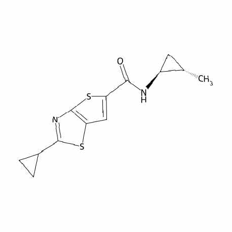 C[C@H]1C[C@@H]1NC(=O)c1cc2sc(C3CC3)nc2s1